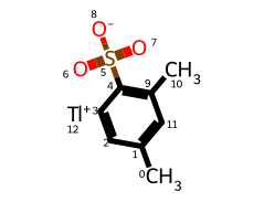 Cc1ccc(S(=O)(=O)[O-])c(C)c1.[Tl+]